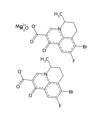 CC1CCc2c(Br)c(F)cc3c(=O)c(C(=O)[O-])cn1c23.CC1CCc2c(Br)c(F)cc3c(=O)c(C(=O)[O-])cn1c23.O.[Mg+2]